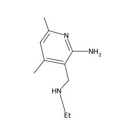 CCNCc1c(C)cc(C)nc1N